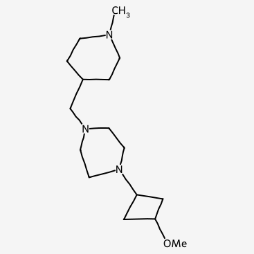 COC1CC(N2CCN(CC3CCN(C)CC3)CC2)C1